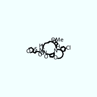 CO[C@H]1/C=C/C[C@H](C)C[S@@](=O)(NC(=O)c2cc3c(s2)CCOC3)=NC(=O)c2ccc3c(c2)N(Cc2ccc(Cl)cc2CCCCO3)C[C@@H]2CC[C@H]21